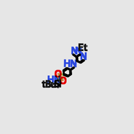 CCn1ncc2c(NCc3ccc(S(=O)(=O)N[Si](C)(C)C(C)(C)C)cc3)ccnc21